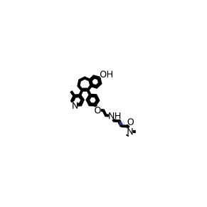 Cc1cnccc1C1=C(c2ccc(OCCNC/C=C/C(=O)N(C)C)cc2)c2ccc(O)cc2CCC1